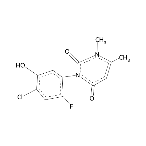 Cc1cc(=O)n(-c2cc(O)c(Cl)cc2F)c(=O)n1C